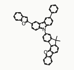 CC1(C)c2cc(-n3c4ccc(-c5ccccc5)cc4c4cc(-c5cc6ccccc6o5)ccc43)ccc2-c2c1ccc1c2oc2ccccc21